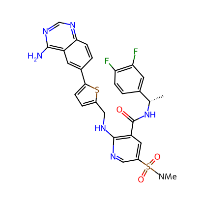 CNS(=O)(=O)c1cnc(NCc2ccc(-c3ccc4ncnc(N)c4c3)s2)c(C(=O)N[C@@H](C)c2ccc(F)c(F)c2)c1